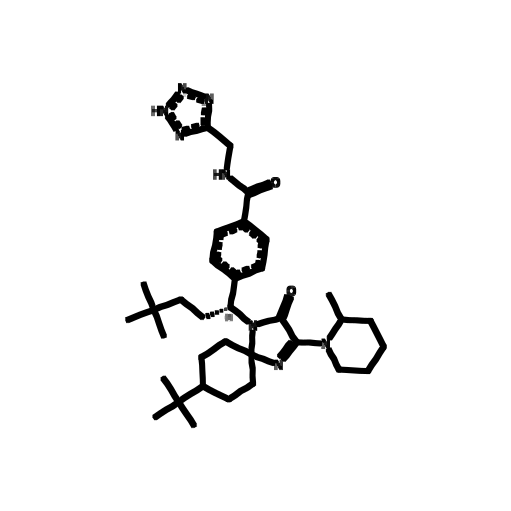 CC1CCCCN1C1=NC2(CCC(C(C)(C)C)CC2)N([C@H](CCC(C)(C)C)c2ccc(C(=O)NCc3nn[nH]n3)cc2)C1=O